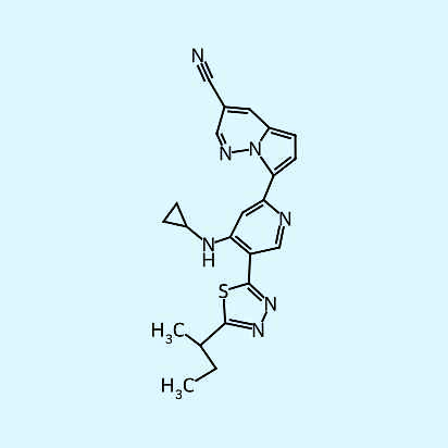 CCC(C)c1nnc(-c2cnc(-c3ccc4cc(C#N)cnn34)cc2NC2CC2)s1